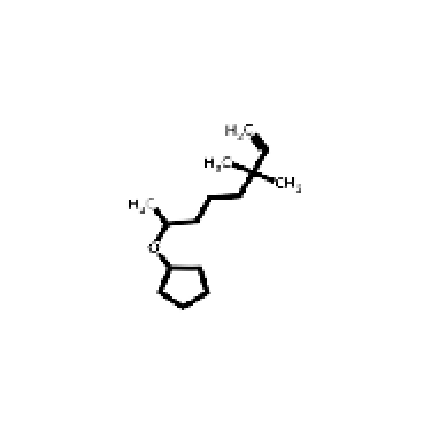 C=CC(C)(C)CCCC(C)OC1CCCC1